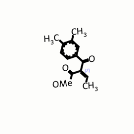 C/C=C(\C(=O)OC)C(=O)c1ccc(C)c(C)c1